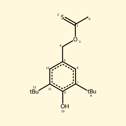 CC(=S)OCc1cc(C(C)(C)C)c(O)c(C(C)(C)C)c1